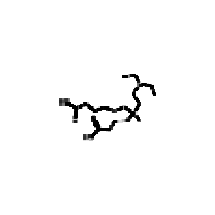 CCN(CC)CCC(C)(CCCCCC(=O)O)CCCC(=O)O